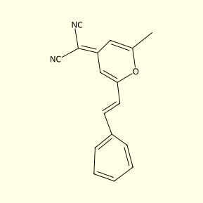 [C-]#[N+]/C(C#N)=C1\C=C(C)OC(/C=C/c2ccccc2)=C1